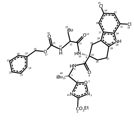 CCOC(=O)c1noc(C(NC(=O)[C@]2(NC(=O)C(NC(=O)OCc3ccccc3)C(C)CC)CCc3[nH]c4c(Cl)cc(Cl)cc4c3C2)[C@@H](C)CC)n1